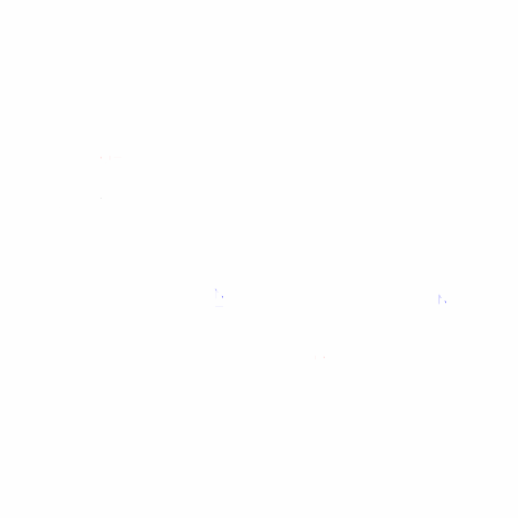 Cc1oc(-c2cccnc2)cc1C(Nc1ccc(C(=O)O)cc1)C1CCCCC1